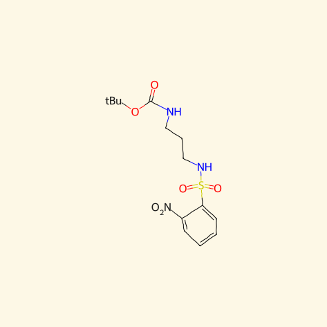 CC(C)(C)OC(=O)NCCCNS(=O)(=O)c1ccccc1[N+](=O)[O-]